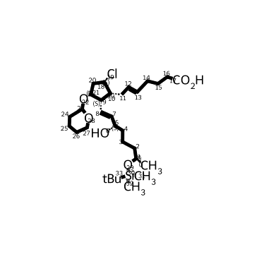 C[C@H](CCC[C@H](O)C=C[C@H]1[C@@H](CC=CCCCC(=O)O)[C@@H](Cl)C[C@H]1OC1CCCCO1)O[Si](C)(C)C(C)(C)C